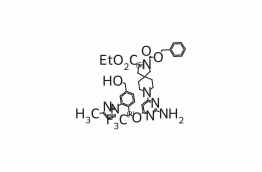 CCOC(=O)[C@@H]1CC2(CCN(c3cc(O[C@H](c4ccc(CO)cc4-n4ccc(C)n4)C(F)(F)F)nc(N)n3)CC2)CN1C(=O)OCc1ccccc1